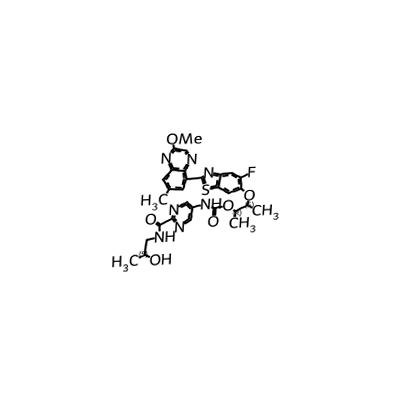 COc1cnc2c(-c3nc4cc(F)c(O[C@@H](C)[C@@H](C)OC(=O)Nc5cnc(C(=O)NC[C@H](C)O)nc5)cc4s3)cc(C)cc2n1